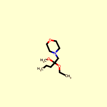 CCCC([CH]N1CCOCC1)(OC)OCC